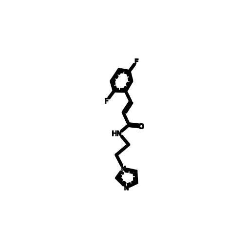 O=C(C=Cc1cc(F)ccc1F)NCCn1ccnc1